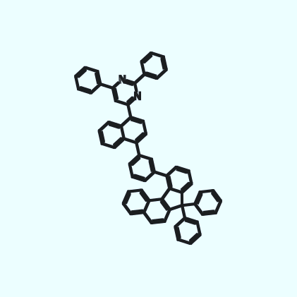 c1ccc(-c2cc(-c3ccc(-c4cccc(-c5cccc6c5-c5c(ccc7ccccc57)C6(c5ccccc5)c5ccccc5)c4)c4ccccc34)nc(-c3ccccc3)n2)cc1